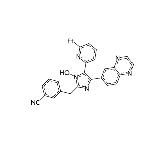 CCc1cccc(-c2c(-c3ccc4nccnc4c3)nc(Cc3cccc(C#N)c3)n2O)n1